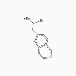 CCCCC(CC)Cc1[c]c2ccccc2cc1